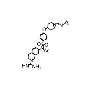 CC(=O)N(c1ccc2c(c1)CN(C(=N)N)CC2)S(=O)(=O)c1ccc(OC2CCN(C=NC3CC3)CC2)cc1